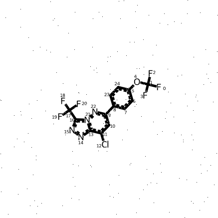 FC(F)(F)Oc1ccc(-c2cc(Cl)c3nnc(C(F)(F)F)n3n2)cc1